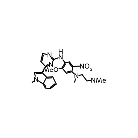 CNCCN(C)c1cc(OC)c(Nc2nccc(-c3cn(C)c4ccccc34)n2)cc1[N+](=O)[O-]